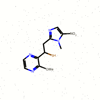 COc1nccnc1C(S)Cc1ncc([N+](=O)[O-])n1C